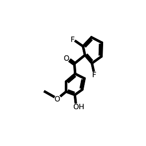 COc1cc(C(=O)c2c(F)cccc2F)ccc1O